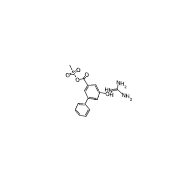 CS(=O)(=O)OC(=O)c1cc(O)cc(-c2ccccc2)c1.N=C(N)N